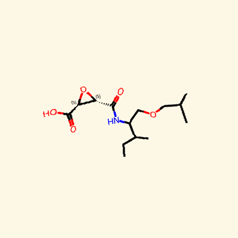 CCC(C)C(COCC(C)C)NC(=O)[C@H]1O[C@@H]1C(=O)O